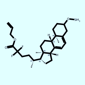 C=CCOC(=O)C(F)(F)CC[C@@H](C)[C@H]1CC[C@H]2C3=CC=C4CC(O[SiH3])CC[C@]4(C)[C@H]3CC[C@]12C